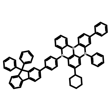 c1ccc(-c2ccc3c(c2)N(c2ccccc2)c2cc(C4CCCCC4)cc4c2B3c2ccccc2N4c2ccc(-c3ccc4c(c3)C(c3ccccc3)(c3ccccc3)c3ccccc3-4)cc2)cc1